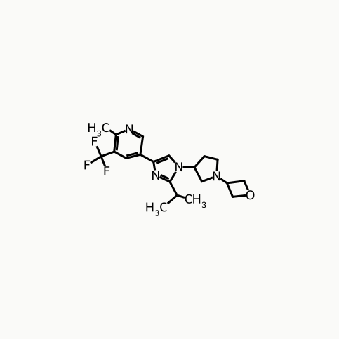 Cc1ncc(-c2cn(C3CCN(C4COC4)C3)c(C(C)C)n2)cc1C(F)(F)F